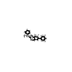 c1ccc(Nc2ncc3cc(-c4ccccc4)ccc3n2)cc1